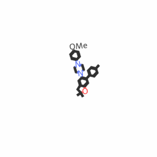 COc1ccc(N2CCN(c3cc4c(cc3-c3ccc(C)cc3)OC(C)(C)C4)CC2)cc1